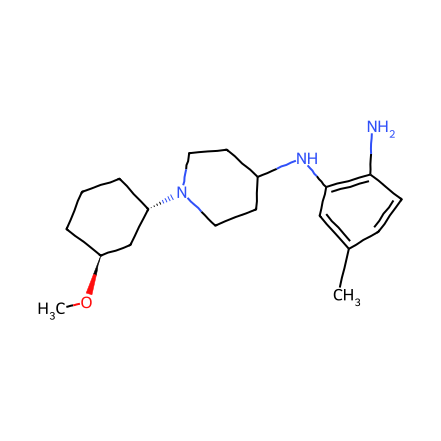 CO[C@H]1CCC[C@H](N2CCC(Nc3cc(C)ccc3N)CC2)C1